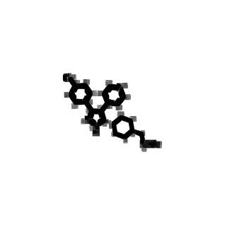 CC(=O)NC[C@H]1CC[C@H](c2[nH]nc(-c3ccc(Cl)cc3)c2-c2ccncc2)CC1